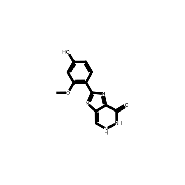 COc1cc(O)ccc1-c1nc2c[nH][nH]c(=O)c-2n1